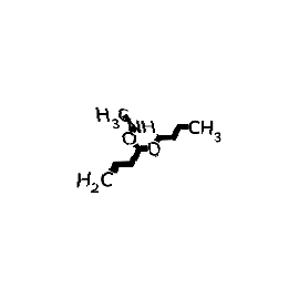 C=CCC(OCCCC)ONC